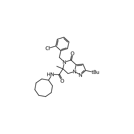 CC(C)(C)c1cc2n(n1)CC(C)(C(=O)NC1CCCCCCC1)N(Cc1ccccc1Cl)C2=O